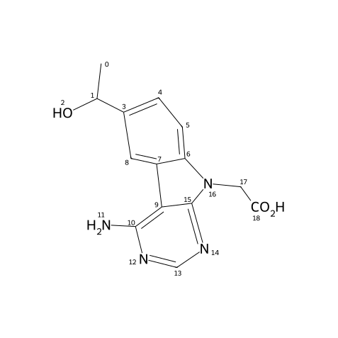 CC(O)c1ccc2c(c1)c1c(N)ncnc1n2CC(=O)O